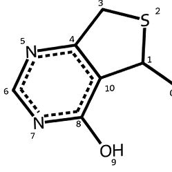 CC1SCc2ncnc(O)c21